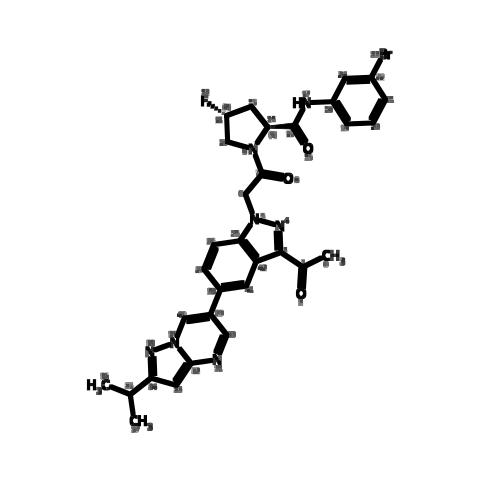 CC(=O)c1nn(CC(=O)N2C[C@H](F)C[C@H]2C(=O)Nc2cccc(Br)c2)c2ccc(-c3cnc4cc(C(C)C)nn4c3)cc12